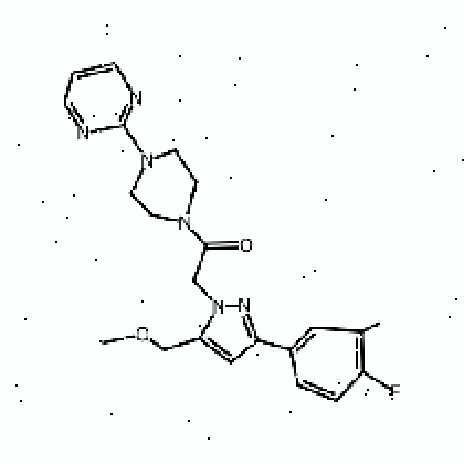 COCc1cc(-c2ccc(F)c(C)c2)nn1CC(=O)N1CCN(c2ncccn2)CC1